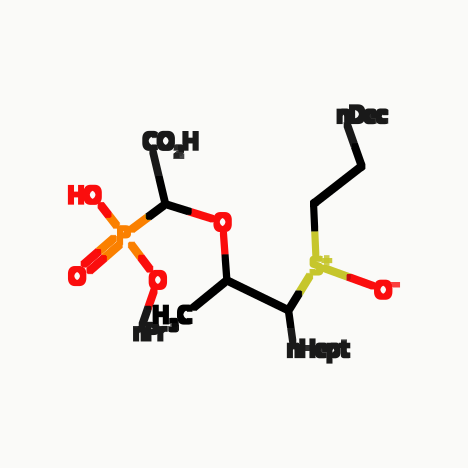 CCCCCCCCCCCC[S+]([O-])C(CCCCCCC)C(C)OC(C(=O)O)P(=O)(O)OCCC